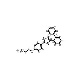 [CH2]CCOc1ccc(-c2nnc(-c3ccccc3-c3ccccc3)o2)cc1